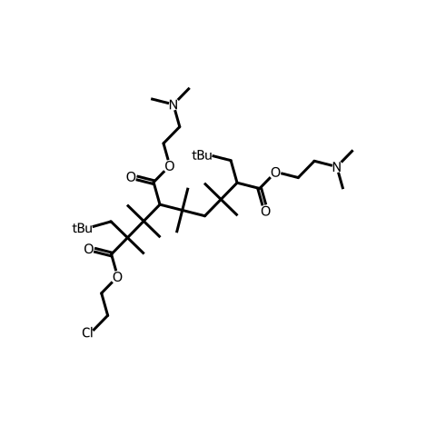 CN(C)CCOC(=O)C(CC(C)(C)C)C(C)(C)CC(C)(C)C(C(=O)OCCN(C)C)C(C)(C)C(C)(CC(C)(C)C)C(=O)OCCCl